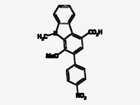 COc1c(-c2ccc([N+](=O)[O-])cc2)cc(C(=O)O)c2c3ccccc3n(C)c12